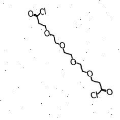 O=C(Cl)CCOCCOCCOCCOCCC(=O)Cl